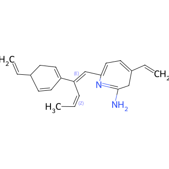 C=CC1=CC=C(/C=C(\C=C/C)C2=CCC(C=C)C=C2)N=C(N)C1